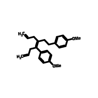 C=CCC(CCc1ccc(OC)cc1)=C(CC=C)c1ccc(OC)cc1